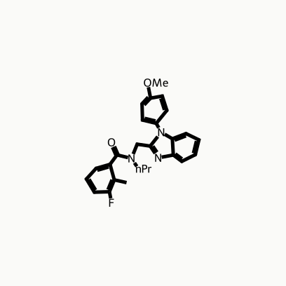 CCCN(Cc1nc2ccccc2n1-c1ccc(OC)cc1)C(=O)c1cccc(F)c1C